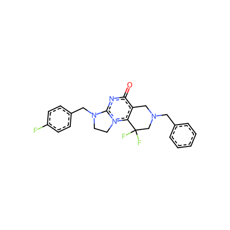 O=c1nc2n(c3c1CN(Cc1ccccc1)CC3(F)F)CCN2Cc1ccc(F)cc1